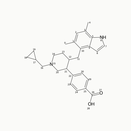 Cc1cc(C)c2[nH]ccc2c1CC1CCN(CC2CC2)CC1c1ccc(C(=O)O)cc1